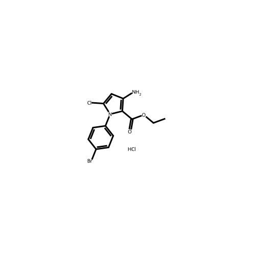 CCOC(=O)c1c(N)cc(Cl)n1-c1ccc(Br)cc1.Cl